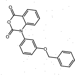 O=c1oc(=O)n(-c2cccc(OCc3ccccc3)c2)c2ccccc12